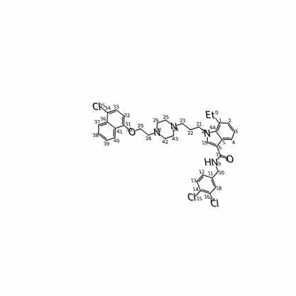 CCc1cccc2c(C(=O)NCc3ccc(Cl)c(Cl)c3)cn(CCCN3CCN(CCOc4ccc(Cl)c5ccccc45)CC3)c12